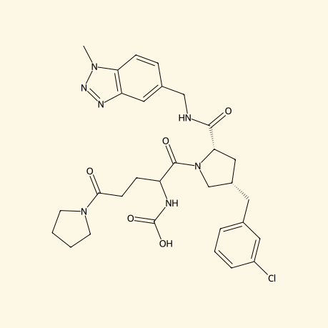 Cn1nnc2cc(CNC(=O)[C@@H]3C[C@H](Cc4cccc(Cl)c4)CN3C(=O)C(CCC(=O)N3CCCC3)NC(=O)O)ccc21